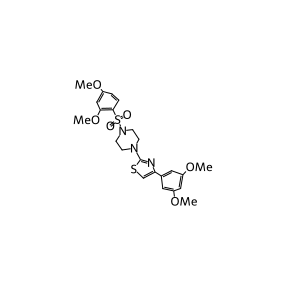 COc1cc(OC)cc(-c2csc(N3CCN(S(=O)(=O)c4ccc(OC)cc4OC)CC3)n2)c1